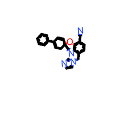 N#Cc1ccc(Cn2ccnc2)cc1OC1(C#N)C=CC(c2ccccc2)=CC1